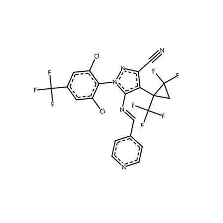 N#Cc1nn(-c2c(Cl)cc(C(F)(F)F)cc2Cl)c(/N=C/c2ccncc2)c1C1(C(F)(F)F)CC1(F)F